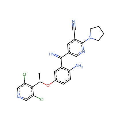 C[C@@H](Oc1ccc(N)c(C(=N)c2cnc(N3CCCC3)c(C#N)c2)c1)c1c(Cl)cncc1Cl